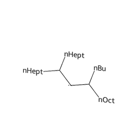 CCCCCCCCC([CH]C(CCCCCCC)CCCCCCC)CCCC